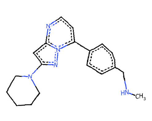 CNCc1ccc(-c2ccnc3cc(N4CCCCC4)nn23)cc1